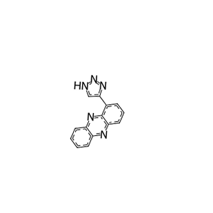 c1ccc2nc3c(-c4c[nH]nn4)cccc3nc2c1